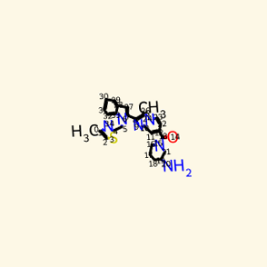 Cc1csc(Cn2c(-c3nc4cc(C(=O)N5CCCC(N)C5)ccn4c3C)cc3ccccc32)n1